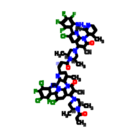 C=CC(=O)N1[C@H](C)CN(c2c(C#N)c(=O)n(-c3c(C)cc(/C=C\C(=O)N4[C@H](C)CN(c5c(C#N)c(=O)n(-c6c(C)ccnc6C(C)C)c6nc(-c7c(N)c(F)c(F)c(F)c7F)c(Cl)cc56)C[C@@H]4C)nc3C(C)C)c3nc(-c4c(N)c(Cl)c(F)c(Cl)c4F)c(Cl)cc23)C[C@@H]1C